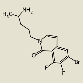 CC(N)CCCn1ccc2cc(Br)c(F)c(F)c2c1=O